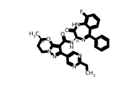 CCc1ncc(-c2nn3c(c2C(=O)N[C@H]2N=C(c4ccccc4)c4cccc(F)c4NC2=O)O[C@H](C)CC3)cn1